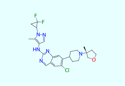 Cc1c(Nc2ncc3cc(Cl)c(C4CCN([C@]5(C)CCOC5)CC4)cc3n2)cnn1C1CC1(F)F